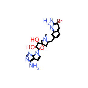 CN1CC2(CC1Cc1ccc3cc(Br)c(N)nc3c1)OC(n1ccc3c(N)ncnc31)C(O)C2O